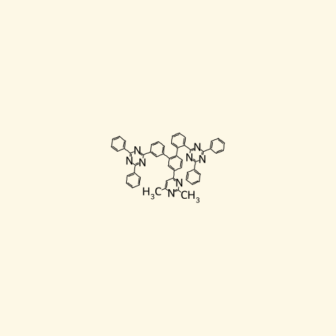 Cc1cc(-c2ccc(-c3ccccc3-c3nc(-c4ccccc4)nc(-c4ccccc4)n3)c(-c3cccc(-c4nc(-c5ccccc5)nc(-c5ccccc5)n4)c3)c2)nc(C)n1